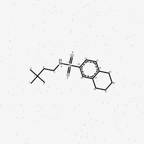 CC(C)(C)CCNS(=O)(=O)c1ccc2c(c1)CCCC2